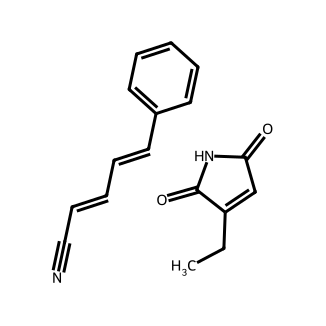 CCC1=CC(=O)NC1=O.N#CC=CC=Cc1ccccc1